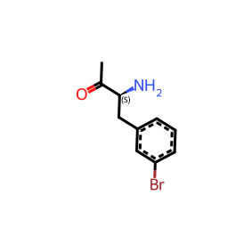 CC(=O)[C@@H](N)Cc1cccc(Br)c1